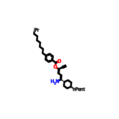 C#C/C(=C\C=C(/N)[C@H]1CC[C@H](CCCCC)CC1)OC(=O)c1ccc(CCCCCCCC(C)C)cc1